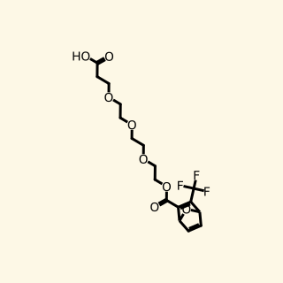 O=C(O)CCOCCOCCOCCOC(=O)C1=C(C(F)(F)F)C2C=CC1O2